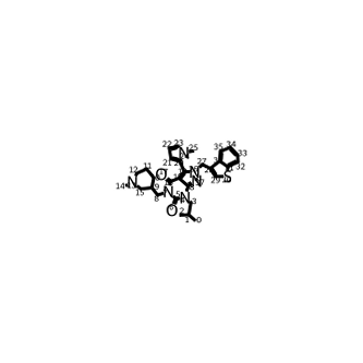 CC(C)Cn1c(=O)n(CC2CCCN(C)C2)c(=O)c2c(-c3cccn3C)n(Cc3csc4ccccc34)nc21